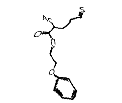 CC(=O)C(CCC=S)C(=O)OCCOc1ccccc1